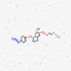 N#Cc1cc2c(Oc3ccc(N=N)cc3)ccnc2cc1OCCCCCl